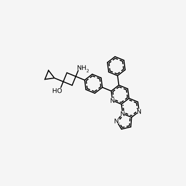 NC1(c2ccc(-c3nc4c(cnc5ccnn54)cc3-c3ccccc3)cc2)CC(O)(C2CC2)C1